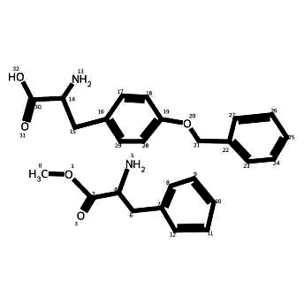 COC(=O)C(N)Cc1ccccc1.NC(Cc1ccc(OCc2ccccc2)cc1)C(=O)O